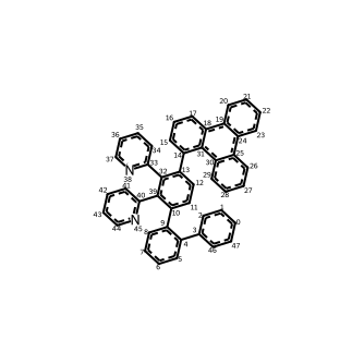 c1ccc(-c2ccccc2-c2ccc(-c3cccc4c5ccccc5c5ccccc5c34)c(-c3ccccn3)c2-c2ccccn2)cc1